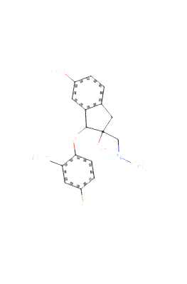 CNCC1(O)Cc2ccc(O)cc2C1Oc1ccc(F)cc1C